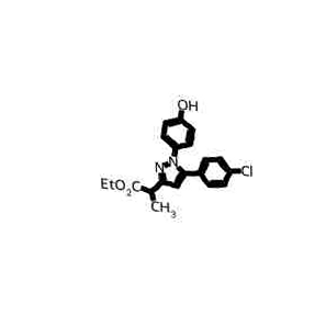 CCOC(=O)C(C)c1cc(-c2ccc(Cl)cc2)n(-c2ccc(O)cc2)n1